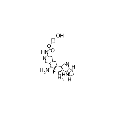 Cc1c(-c2cc3cc(NC(=O)O[C@H]4C[C@@H](O)C4)ncc3c(N)c2F)cnc2c1N[C@H]1C[C@H]2C1